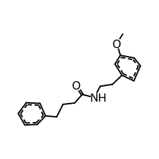 COc1cccc(CCNC(=O)CCCc2ccccc2)c1